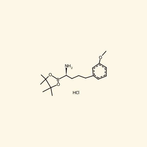 COc1cccc(CCC[C@H](N)B2OC(C)(C)C(C)(C)O2)c1.Cl